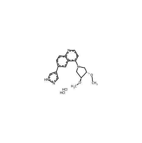 CO[C@H]1CN(c2ccnc3ccc(-c4cn[nH]c4)cc23)C[C@@H]1OC.Cl.Cl